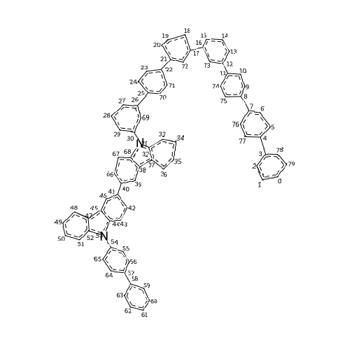 c1ccc(-c2ccc(-c3ccc(-c4cccc(-c5cccc(-c6ccc(-c7cccc(-n8c9ccccc9c9cc(-c%10ccc%11c(c%10)c%10ccccc%10n%11-c%10ccc(-c%11ccccc%11)cc%10)ccc98)c7)cc6)c5)c4)cc3)cc2)cc1